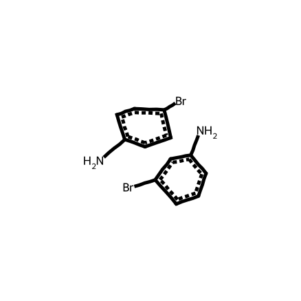 Nc1ccc(Br)cc1.Nc1cccc(Br)c1